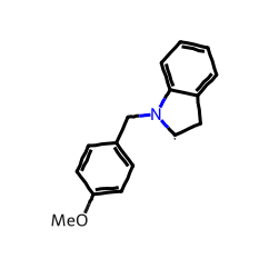 COc1ccc(CN2[CH]Cc3ccccc32)cc1